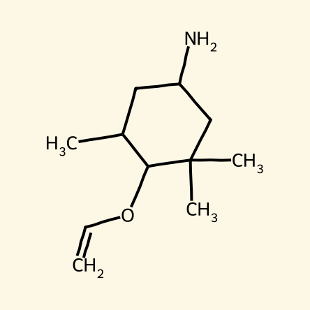 C=COC1C(C)CC(N)CC1(C)C